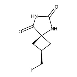 O=C1NC(=O)[C@]2(C[C@H](CI)C2)N1